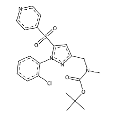 CN(Cc1cc(S(=O)(=O)c2ccncc2)n(-c2ccccc2Cl)n1)C(=O)OC(C)(C)C